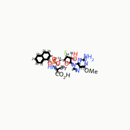 COc1nc(N)nc2c1ncn2C1O[C@H](COP(=O)(NC(C(=O)O)C(C)C)Oc2cccc3ccccc23)[C@H](F)[C@@]1(C)O